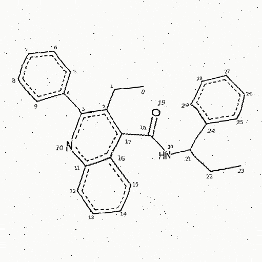 CCc1c(-c2ccccc2)nc2ccccc2c1C(=O)NC(CC)c1ccccc1